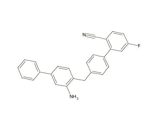 N#Cc1ccc(F)cc1-c1ccc(Cc2ccc(-c3ccccc3)cc2N)cc1